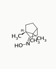 CC1(C)C2CC[C@@]1(C)C(=NO)C2